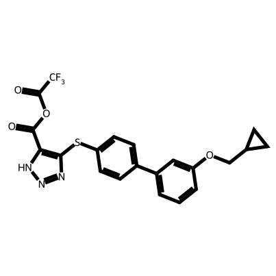 O=C(OC(=O)C(F)(F)F)c1[nH]nnc1Sc1ccc(-c2cccc(OCC3CC3)c2)cc1